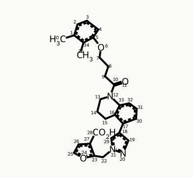 Cc1cccc(OCCCC(=O)N2CCCc3c(-c4cnn(Cc5occc5C(=O)O)c4)cccc32)c1C